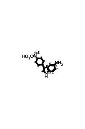 CCN(C(=O)O)C1CCC(c2c[nH]c3ccc(N)cc23)CC1